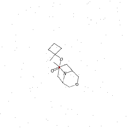 CC1CC2COCC(C1)N2C(=O)OC1(C)CCC1